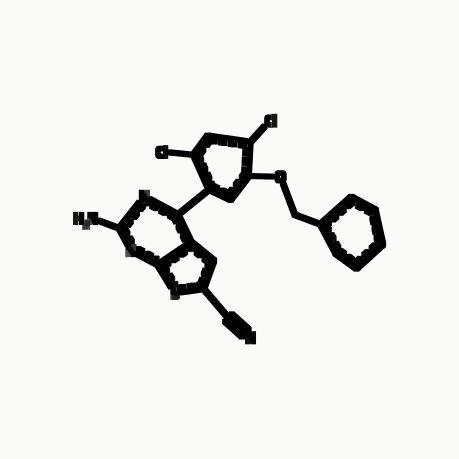 N#Cc1cc2c(-c3cc(OCc4ccccc4)c(Cl)cc3Cl)nc(N)nc2s1